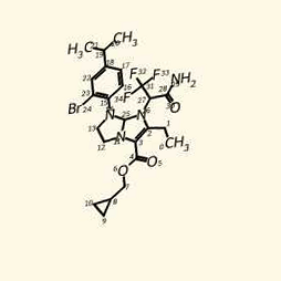 CCC1=C(C(=O)OCC2CC2)N2CCN(c3ccc(C(C)C)cc3Br)C2N1C(C(N)=O)C(F)(F)F